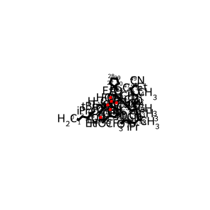 C=CCC(CC)C(C)(OC(=O)C(C)(CC(C)(C)C)C(C)(C)C(C)CC(C)(C(=O)OC1(CC)CCCC1)C(C)(C)C(C)(C)CC(C)(C(=O)OC(C)CC(=C)C(C#N)CC)C(C)(C)C(C)CC(C)(C(=O)OC1CC(C(O)(C(F)(F)F)C(F)(F)F)CC(C(O)(C(F)(F)F)C(F)(F)F)C1)C(C)C)C(C)C